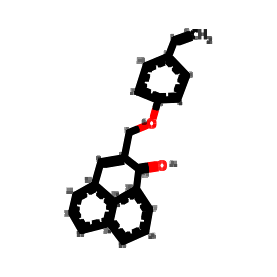 C=Cc1ccc(OCC2=Cc3cccc4cccc(c34)C2=O)cc1